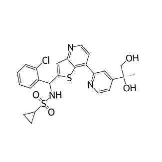 C[C@@](O)(CO)c1ccnc(-c2ccnc3cc(C(NS(=O)(=O)C4CC4)c4ccccc4Cl)sc23)c1